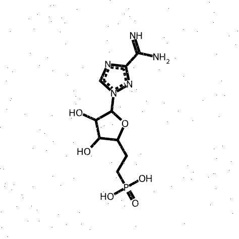 N=C(N)c1ncn(C2OC(CCP(=O)(O)O)C(O)C2O)n1